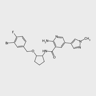 Cn1cc(-c2cnc(N)c(C(=O)NC3CCCC3OCc3ccc(F)c(Br)c3)c2)cn1